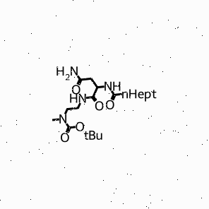 CCCCCCCC(=O)NC(CC(N)=O)C(=O)NCCN(C)C(=O)OC(C)(C)C